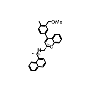 COCc1cc(C2=C[C@H](CN[C@H](C)c3cccc4ccccc34)Oc3ccccc32)ccc1C